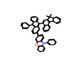 CC1(C)c2cc(-c3c4ccccc4c(-c4ccccc4)c4ccc(C5=CC=C6C(C5)OC5=C(C=CCC5)N6C5=CCCC=C5)cc34)c3ccccc3c2C2C=CC=CC21